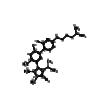 CC(C)n1c(-c2cc(-c3ccc(OCCCN(C)C)nc3F)c(F)cc2N)c(N)n(C)c1=O